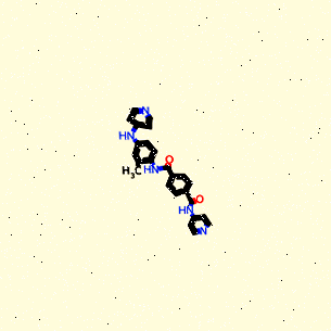 Cc1cc(Nc2ccncc2)ccc1NC(=O)c1ccc(C(=O)Nc2ccncc2)cc1